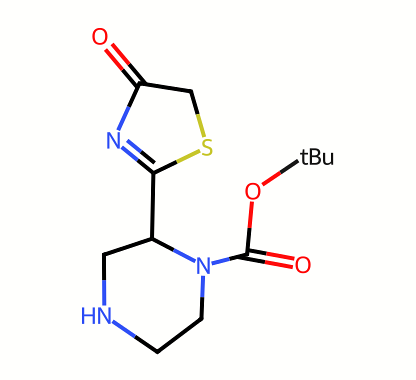 CC(C)(C)OC(=O)N1CCNCC1C1=NC(=O)CS1